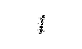 Cl.O=C(Nc1ncccc1O)c1ccc(C=Cc2ccc(C(=O)Nc3ncccc3O)cc2)cc1